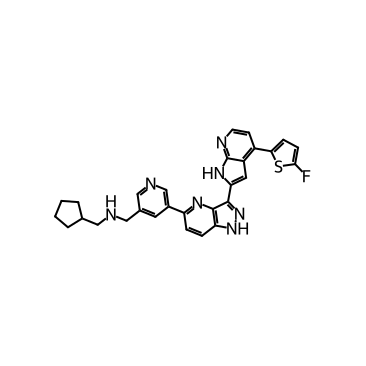 Fc1ccc(-c2ccnc3[nH]c(-c4n[nH]c5ccc(-c6cncc(CNCC7CCCC7)c6)nc45)cc23)s1